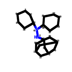 C1CCC(N(NC23CC4CC(CC(C4)C2)C3)C2CCCCC2)CC1